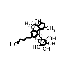 C#CCCCCc1cc2c(c(OC3O[C@H](O)[C@@H](O)[C@H](O)[C@H]3CO)c1C(=O)O)[C@@H]1C=C(C)CC[C@H]1C(C)(C)O2